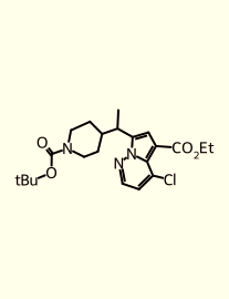 CCOC(=O)c1cc(C(C)C2CCN(C(=O)OC(C)(C)C)CC2)n2nccc(Cl)c12